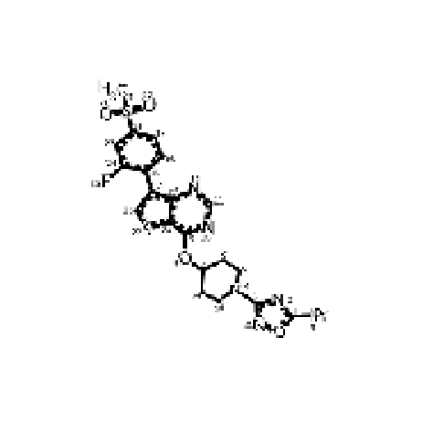 CC(C)c1nc(N2CCC(Oc3ncnc4c(-c5ccc(S(C)(=O)=O)cc5F)csc34)CC2)no1